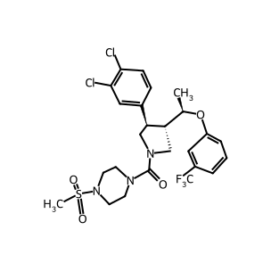 C[C@@H](Oc1cccc(C(F)(F)F)c1)[C@@H]1CN(C(=O)N2CCN(S(C)(=O)=O)CC2)C[C@H]1c1ccc(Cl)c(Cl)c1